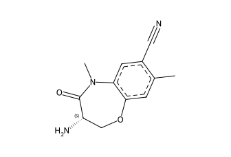 Cc1cc2c(cc1C#N)N(C)C(=O)[C@@H](N)CO2